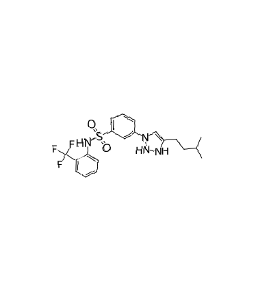 CC(C)CCC1=CN(c2cccc(S(=O)(=O)Nc3ccccc3C(F)(F)F)c2)NN1